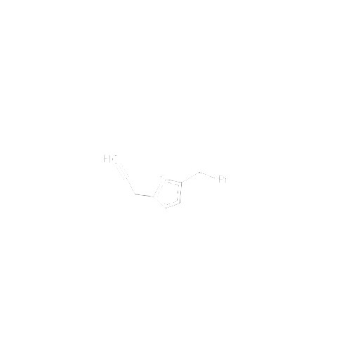 C#CCc1ccc(CC(C)C)s1